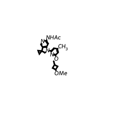 COC1CC(COc2cc(C)cc(N3CC4(CC4)c4cnc(NC(C)=O)cc43)n2)C1